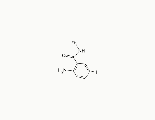 CCNC(=O)c1cc(I)ccc1N